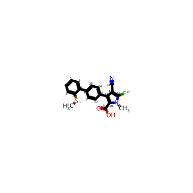 CSc1ccccc1-c1ccc(-c2c(C#N)c(F)n(C)c2C(=O)O)cc1